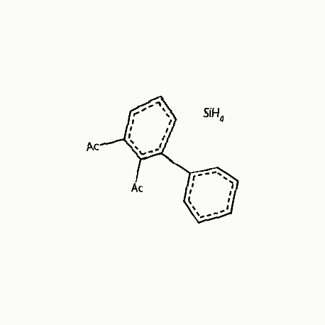 CC(=O)c1cccc(-c2ccccc2)c1C(C)=O.[SiH4]